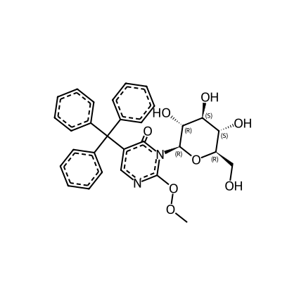 COOc1ncc(C(c2ccccc2)(c2ccccc2)c2ccccc2)c(=O)n1[C@@H]1O[C@H](CO)[C@@H](O)[C@H](O)[C@H]1O